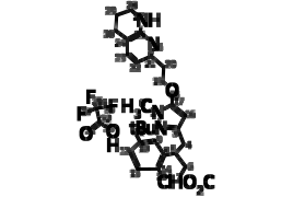 Cn1nc(CC(CC(=O)O)c2cc(C(C)(C)C)ccc2Cl)cc1OCCc1ccc2c(n1)NCCC2.O=C(O)C(F)(F)F